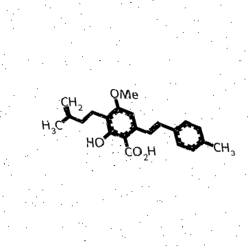 C=C(C)CCc1c(OC)cc(/C=C/c2ccc(C)cc2)c(C(=O)O)c1O